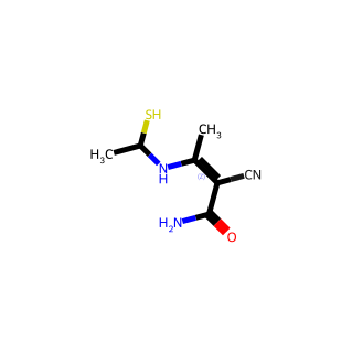 C/C(NC(C)S)=C(\C#N)C(N)=O